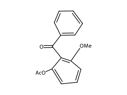 COc1cccc(OC(C)=O)c1C(=O)c1ccccc1